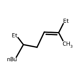 CCCCC(CC)C/C=C(\C)CC